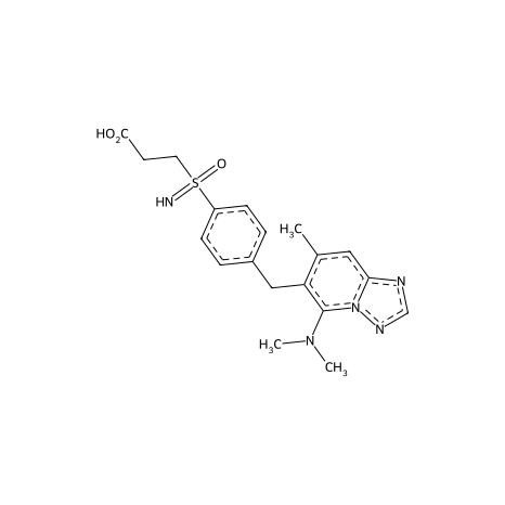 Cc1cc2ncnn2c(N(C)C)c1Cc1ccc(S(=N)(=O)CCC(=O)O)cc1